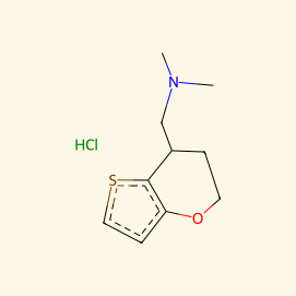 CN(C)CC1CCOc2ccsc21.Cl